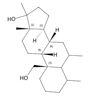 CC1CCC[C@@]2(CO)C1C(C)C[C@@H]1[C@H]2CC[C@@]2(C)[C@H]1CCC2(C)O